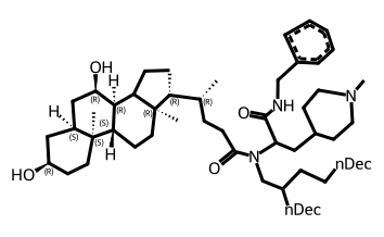 CCCCCCCCCCCCC(CCCCCCCCCC)CN(C(=O)CC[C@@H](C)[C@H]1CCC2[C@@H]3[C@H](O)C[C@@H]4C[C@H](O)CC[C@]4(C)[C@H]3CC[C@@]21C)C(CC1CCN(C)CC1)C(=O)NCc1ccccc1